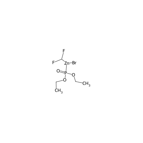 CCO[P](=O)(OCC)[Zn]([Br])[CH](F)F